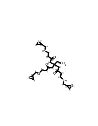 CCC(CC(=O)CCSCC1CS1)(CC(=O)CCSCC1CS1)CC(=O)CCSCC1CS1